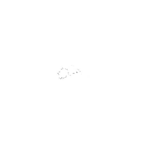 CCOC(=O)[C@H]1[C@@H]2Cc3cc(N)ncc3[C@@H]21